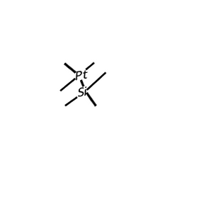 C[Si](C)(C)[Pt]([CH3])([CH3])[CH3]